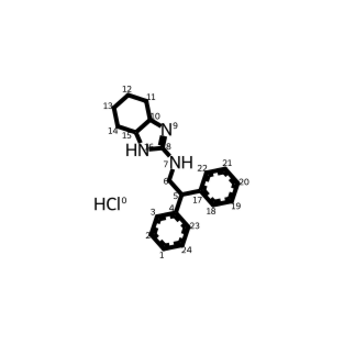 Cl.c1ccc(C(CNC2=NC3CCCCC3N2)c2ccccc2)cc1